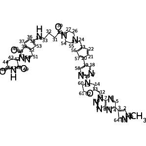 Cn1cc(-c2cnc3c(nnn3C[C@@H]3CN(c4ncc(-c5ccc(CN6CCN(C(=O)CCCNc7ccc8c(=O)n(C9CCC(=O)NC9=O)ncc8c7)CC6)cc5)cn4)CCO3)n2)cn1